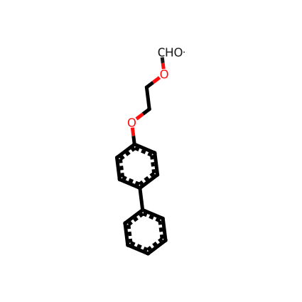 O=[C]OCCOc1ccc(-c2ccccc2)cc1